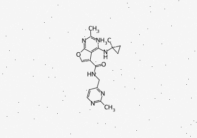 Cc1nccc(CNC(=O)c2coc3nc(C)nc(NC4(C)CC4)c23)n1